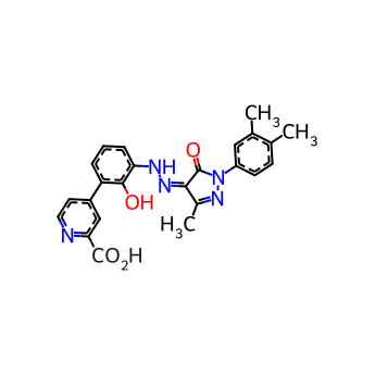 CC1=NN(c2ccc(C)c(C)c2)C(=O)C1=NNc1cccc(-c2ccnc(C(=O)O)c2)c1O